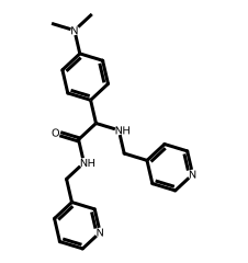 CN(C)c1ccc(C(NCc2ccncc2)C(=O)NCc2cccnc2)cc1